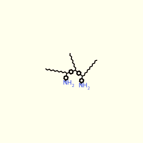 CCCCCCCCCCCC(c1ccc(N)cc1)c1ccc(C(CCCCCCCCC)c2ccc(C(CCCCCCCCCCC)c3ccc(N)cc3)cc2)cc1